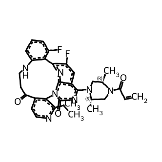 C=CC(=O)N1C[C@H](C)N(c2nc(=O)n3c4nc(c(F)cc24)-c2c(F)cccc2NCCC(=O)c2ccnc(C(C)C)c2-3)C[C@H]1C